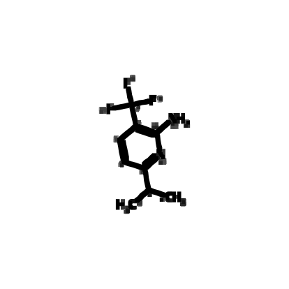 CC(C)c1ccc(C(F)(F)F)c(N)n1